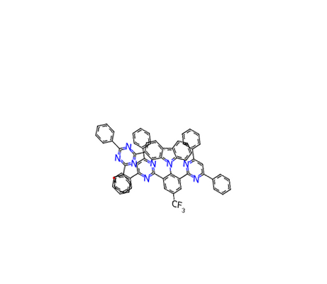 FC(F)(F)c1cc(-c2nc(-c3ccccc3)cc(-c3ccccc3)n2)c(-n2c3ccccc3c3ccc(-c4nc(-c5ccccc5)nc(-c5ccccc5)n4)cc32)c(-c2nc(-c3ccccc3)cc(-c3ccccc3)n2)c1